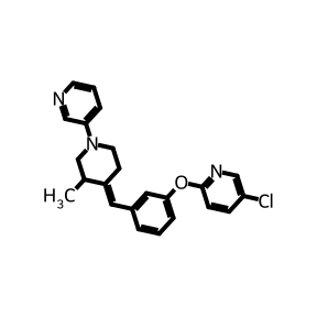 CC1CN(c2cccnc2)CCC1=Cc1cccc(Oc2ccc(Cl)cn2)c1